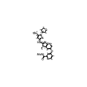 CNC(=O)c1cc(Oc2cnc3nc(Nc4cc(C(C)(C)C)n([C@@H]5CCOC5)n4)n(C)c3c2)ccn1